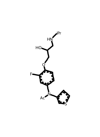 CC(=O)N(c1ccsc1)c1ccc(OCC(O)CNC(C)C)c(F)c1